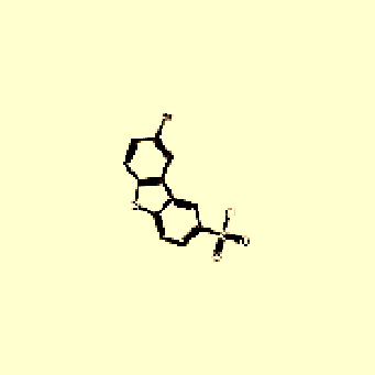 O=S(=O)(Cl)c1ccc2sc3ccc(Br)cc3c2c1